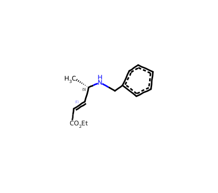 CCOC(=O)/C=C/[C@H](C)NCc1ccccc1